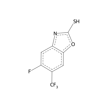 Fc1cc2nc(S)oc2cc1C(F)(F)F